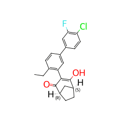 CCc1ccc(-c2ccc(Cl)c(F)c2)cc1C1=C(O)[C@H]2CC[C@H](C2)C1=O